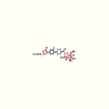 CC(=O)NC[C@H]1CN(c2ccc(N3CCN(C(=O)CCC(P(=O)(OC(C)C)OC(C)C)P(=O)(OC(C)C)OC(C)C)CC3)c(F)c2)C(=O)O1